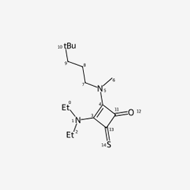 CCN(CC)c1c(N(C)CCCC(C)(C)C)c(=O)c1=S